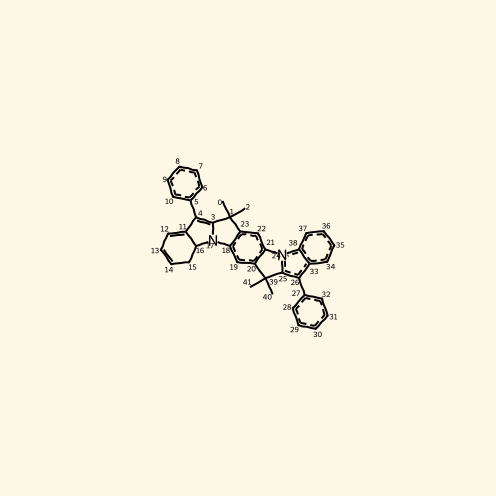 CC1(C)C2=C(c3ccccc3)C3=CC=CCC3N2c2cc3c(cc21)-n1c(c(-c2ccccc2)c2ccccc21)C3(C)C